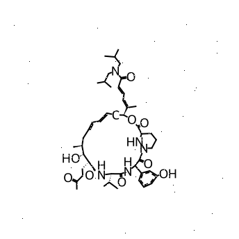 CC(=O)CC[C@H]1C(=O)N[C@@H](C(C)C)C(=O)NC(c2cccc(O)c2)C(=O)N2CCCC(N2)C(=O)O[C@H](/C(C)=C/C=C/C(=O)N(CC(C)C)CC(C)C)C/C=C/C=C/C[C@H](C)[C@H]1O